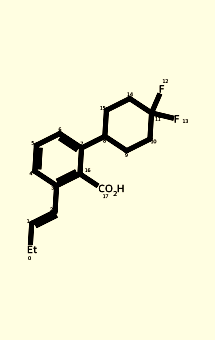 CC/C=C/c1cccc(C2CCC(F)(F)CC2)c1C(=O)O